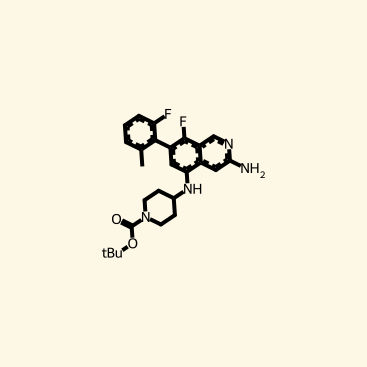 Cc1cccc(F)c1-c1cc(NC2CCN(C(=O)OC(C)(C)C)CC2)c2cc(N)ncc2c1F